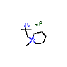 CC(C)(N)C[N+]1(C)CCCCC1.Cl.[Cl-]